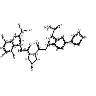 NC(=O)c1nn(CC(=O)N2CC(F)CC2C(=O)Nc2cc(C(F)F)nc3c(F)cc(F)c(F)c23)c2ccc(-c3ccnnc3)cc12